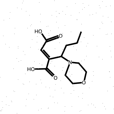 CCCC(/C(=C\C(=O)O)C(=O)O)N1CCOCC1